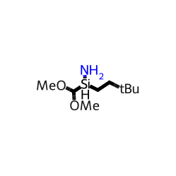 COC(OC)[SiH](N)CCC(C)(C)C